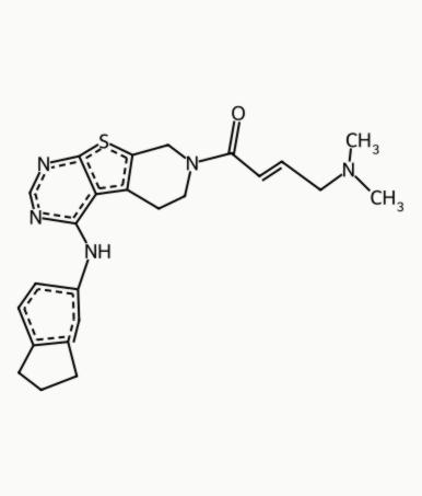 CN(C)CC=CC(=O)N1CCc2c(sc3ncnc(Nc4ccc5c(c4)CCC5)c23)C1